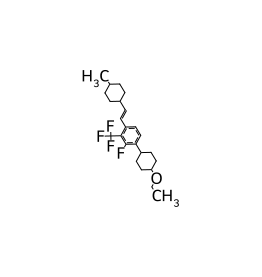 CCOC1CCC(c2ccc(/C=C/C3CCC(C)CC3)c(C(F)(F)F)c2F)CC1